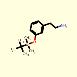 CC(C)(C)[Si](C)(C)Oc1cccc(CCN)c1